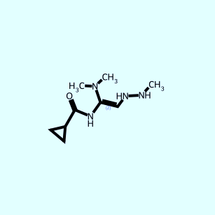 CNN/C=C(/NC(=O)C1CC1)N(C)C